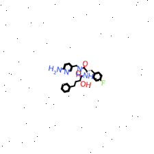 Nc1ccc(CNC(=O)[C@H](Cc2ccc(F)cc2)NC(=O)[C@H](O)CCc2ccccc2)cn1